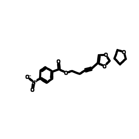 C1CCOC1.O=C(OCCC#CC1=COCO1)c1ccc([N+](=O)[O-])cc1